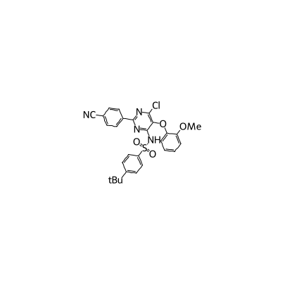 COc1ccccc1Oc1c(Cl)nc(-c2ccc(C#N)cc2)nc1NS(=O)(=O)c1ccc(C(C)(C)C)cc1